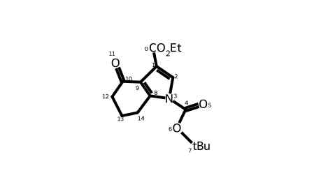 CCOC(=O)c1cn(C(=O)OC(C)(C)C)c2c1C(=O)CCC2